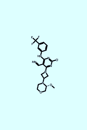 CO[C@@H]1COCCN1C1CN(c2nc(Cl)nc(Nc3cccc(C(F)(F)F)c3)c2C=N)C1